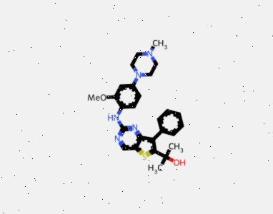 COc1cc(N2CCN(C)CC2)ccc1Nc1ncc2sc(C(C)(C)O)c(-c3ccccc3)c2n1